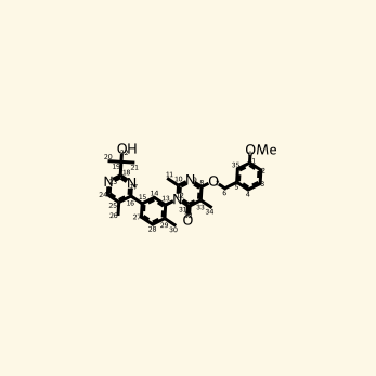 COc1cccc(COc2nc(C)n(-c3cc(-c4nc(C(C)(C)O)ncc4C)ccc3C)c(=O)c2C)c1